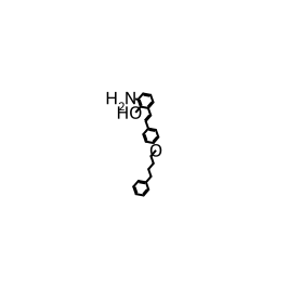 Nc1cccc(/C=C/c2ccc(OCCCCc3ccccc3)cc2)c1O